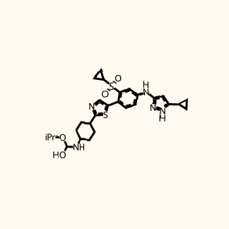 CC(C)OC(O)NC1CCC(c2ncc(-c3ccc(Nc4cc(C5CC5)[nH]n4)cc3S(=O)(=O)C3CC3)s2)CC1